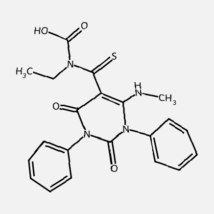 CCN(C(=O)O)C(=S)c1c(NC)n(-c2ccccc2)c(=O)n(-c2ccccc2)c1=O